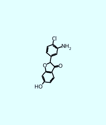 Nc1cc(C2Oc3cc(O)ccc3C2=O)ccc1Cl